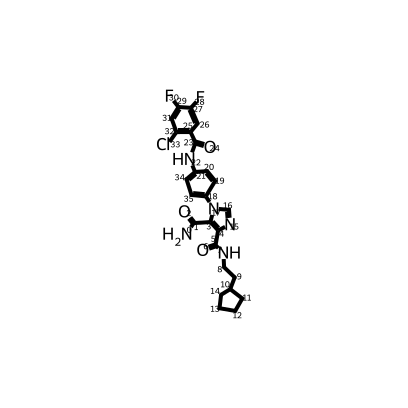 NC(=O)c1c(C(=O)NCCC2CCCC2)ncn1-c1ccc(NC(=O)c2cc(F)c(F)cc2Cl)cc1